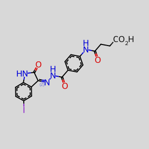 O=C(O)CCC(=O)Nc1ccc(C(=O)N/N=C2\C(=O)Nc3ccc(I)cc32)cc1